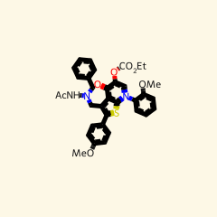 CCOC(=O)Oc1cn(-c2ccccc2OC)c2sc(-c3ccc(OC)cc3)c(CN(Cc3ccccc3)NC(C)=O)c2c1=O